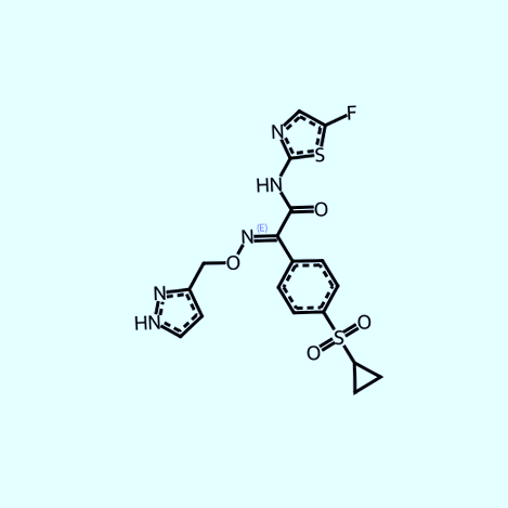 O=C(Nc1ncc(F)s1)/C(=N/OCc1cc[nH]n1)c1ccc(S(=O)(=O)C2CC2)cc1